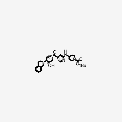 CC(C)(C)OC(=O)N1CCC(Nc2cc(C(=O)N3CCC(N4CCc5ccccc5C4)[C@@H](O)C3)ncn2)CC1